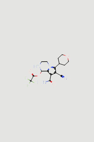 N#Cc1c(C(N)=O)c2n(c1C1CCOCC1)CCNC2OC(=O)C(F)(F)F